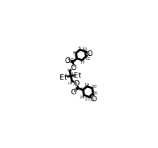 CCC(CC)(COC(=O)C1CCC2OC2C1)COC(=O)C1CCC2OC2C1